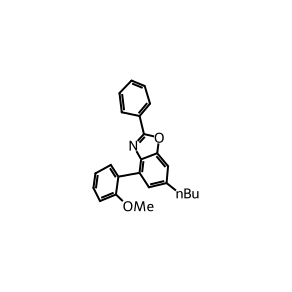 CCCCc1cc(-c2ccccc2OC)c2nc(-c3ccccc3)oc2c1